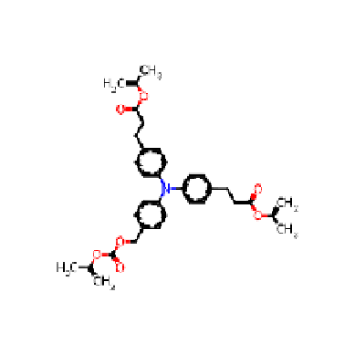 C=C(C)OC(=O)CCc1ccc(N(c2ccc(CCC(=O)OC(=C)C)cc2)c2ccc(COC(=O)OC(=C)C)cc2)cc1